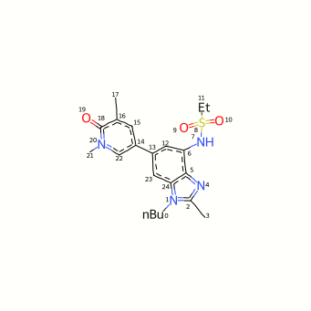 CCCCn1c(C)nc2c(NS(=O)(=O)CC)cc(-c3cc(C)c(=O)n(C)c3)cc21